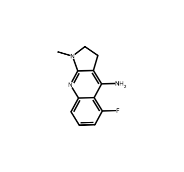 CN1CCc2c1nc1cccc(F)c1c2N